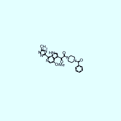 COc1cnc(-c2nnn(C)n2)c2[nH]cc(C(=O)C(=O)N3CCN(C(=O)c4ccccc4)CC3)c12